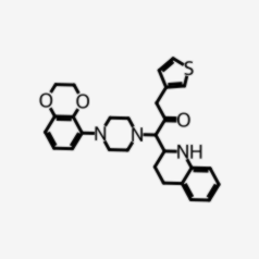 O=C(Cc1ccsc1)C(C1CCc2ccccc2N1)N1CCN(c2cccc3c2OCCO3)CC1